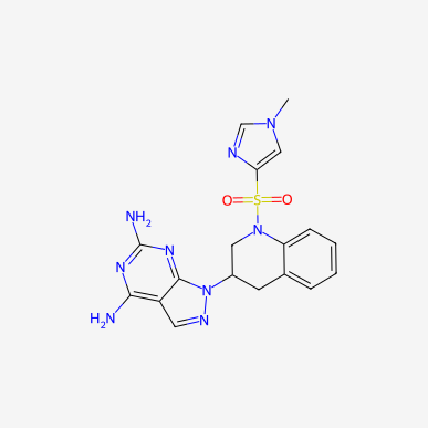 Cn1cnc(S(=O)(=O)N2CC(n3ncc4c(N)nc(N)nc43)Cc3ccccc32)c1